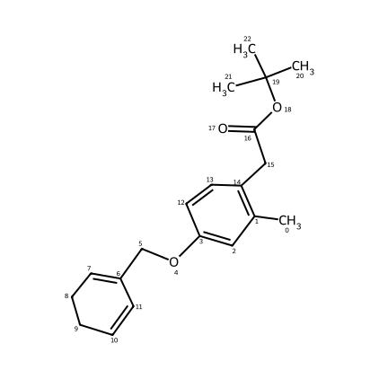 Cc1cc(OCC2=CCCC=C2)ccc1CC(=O)OC(C)(C)C